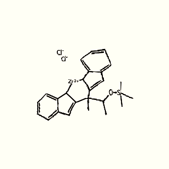 CC(O[Si](C)(C)C)C1(C)C2=Cc3ccccc3[CH]2[Zr+2][CH]2C1=Cc1ccccc12.[Cl-].[Cl-]